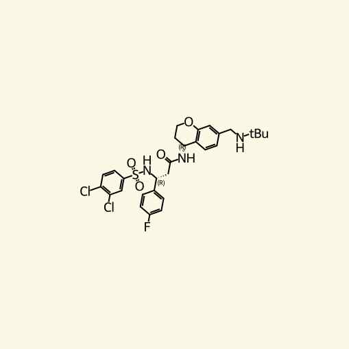 CC(C)(C)NCc1ccc2c(c1)OCC[C@H]2NC(=O)C[C@@H](NS(=O)(=O)c1ccc(Cl)c(Cl)c1)c1ccc(F)cc1